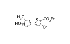 CCOC(=O)c1sc(C2=CC(C)N(O)C=C2)cc1Br